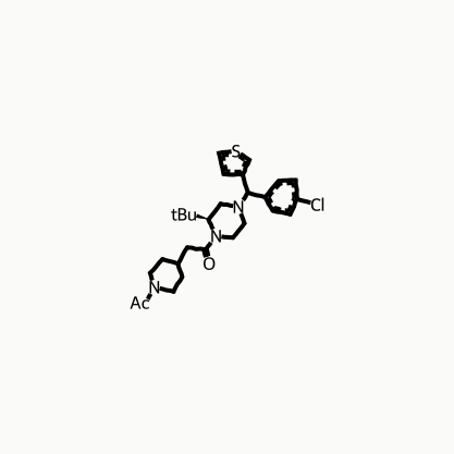 CC(=O)N1CCC(CC(=O)N2CCN(C(c3ccc(Cl)cc3)c3ccsc3)C[C@@H]2C(C)(C)C)CC1